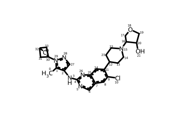 Cc1c(Nc2ncc3cc(Cl)c(C4CCN(C5COCC5O)CC4)cc3n2)cnn1C12CC(C1)C2